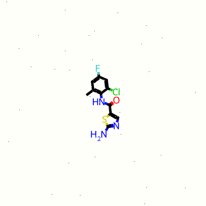 Cc1cc(F)cc(Cl)c1NC(=O)c1cnc(N)s1